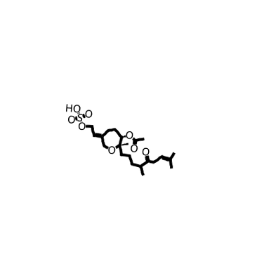 CC(=O)O[C@@H]1CC/C(=C\COS(=O)(=O)O)CO[C@@]1(C)CCCC(C)C(=O)CC=C(C)C